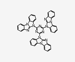 c1ccc2c(c1)nc1n(-c3nc(-n4c5ccccc5n5c6ccccc6nc45)nc(-n4c5ccccc5n5c6ccccc6nc45)n3)c3ccccc3n21